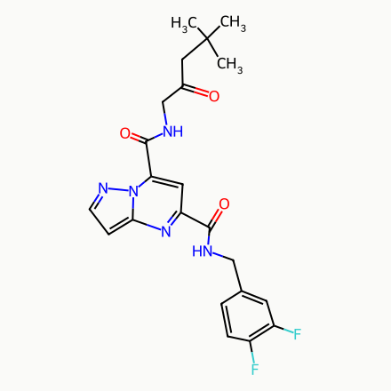 CC(C)(C)CC(=O)CNC(=O)c1cc(C(=O)NCc2ccc(F)c(F)c2)nc2ccnn12